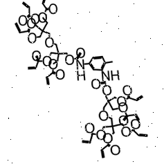 C=CC(=O)OCC(COCC(COC(=O)C=C)(COC(=O)C=C)COC(=O)Nc1ccc(C)c(NC(=O)OCC(COCC(COC(=O)C=C)(COC(=O)C=C)COC(=O)C=C)(COC(=O)C=C)COC(=O)C=C)c1)(COC(=O)C=C)COC(=O)C=C